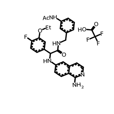 CCOc1cc(C(Nc2ccc3c(N)nccc3c2)C(=O)NCc2cccc(NC(C)=O)c2)ccc1F.O=C(O)C(F)(F)F